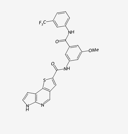 COc1cc(NC(=O)c2cc3cnc4[nH]ccc4c3s2)cc(C(=O)Nc2cccc(C(F)(F)F)c2)c1